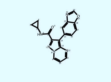 O=C(NC1CC1)c1nn2cccnc2c1-c1ccc2ocnc2c1